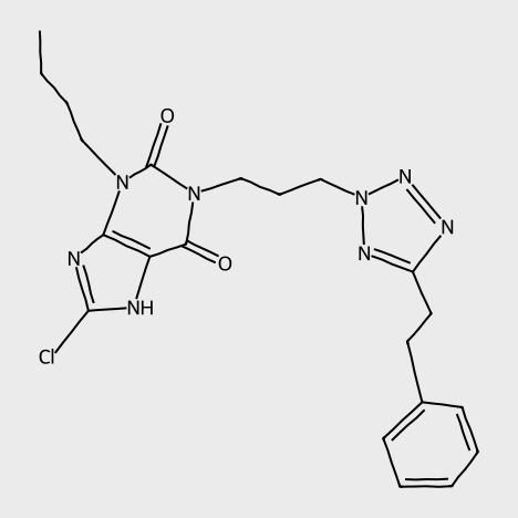 CCCCn1c(=O)n(CCCn2nnc(CCc3ccccc3)n2)c(=O)c2[nH]c(Cl)nc21